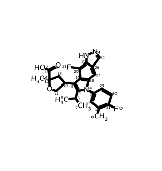 Cc1cc(-n2c(C(C)C)c(C3CO[C@@](C)(C(=O)O)C3)c3c(F)c4[nH]ncc4cc32)ccc1F